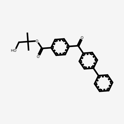 CC(C)(CO)OC(=O)c1ccc(C(=O)c2ccc(-c3ccccc3)cc2)cc1